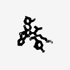 CC(C)C(c1nc2c(oc3ccccc32)c(=O)n1Cc1ccccc1F)N(CCCN)C(=O)c1ccc(Br)cc1